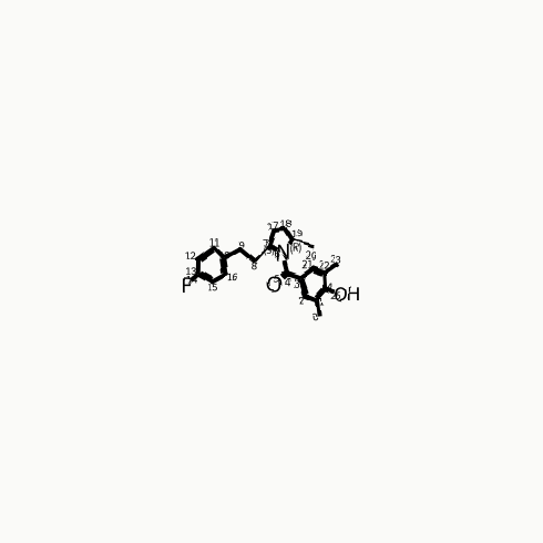 Cc1cc(C(=O)N2[C@@H](CCc3ccc(F)cc3)CC[C@H]2C)cc(C)c1O